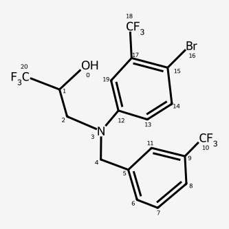 OC(CN(Cc1cccc(C(F)(F)F)c1)c1ccc(Br)c(C(F)(F)F)c1)C(F)(F)F